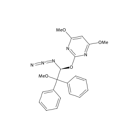 COc1cc(OC)nc(O[C@H](N=[N+]=[N-])C(OC)(c2ccccc2)c2ccccc2)n1